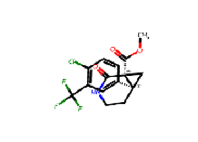 COC(=O)[C@]12C[C@@]1(c1ccc(Cl)c(C(F)(F)F)c1)CCNC2=O